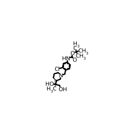 CC(C)(C)OC(=O)Nc1ccc(CN2CCC[C@H]([C@](C)(O)CO)C2)c(Cl)c1